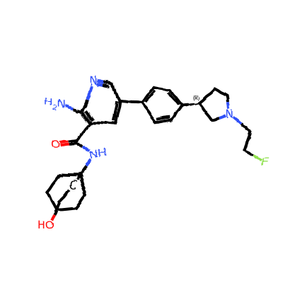 Nc1ncc(-c2ccc([C@H]3CCN(CCF)C3)cc2)cc1C(=O)NC12CCC(O)(CC1)CC2